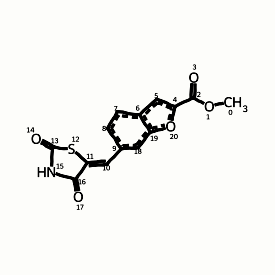 COC(=O)c1cc2ccc(/C=C3\SC(=O)NC3=O)cc2o1